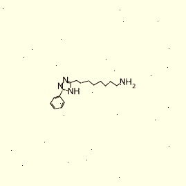 NCCCCCCCCc1nnc(-c2ccccc2)[nH]1